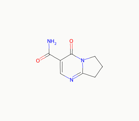 NC(=O)c1cnc2n(c1=O)CCC2